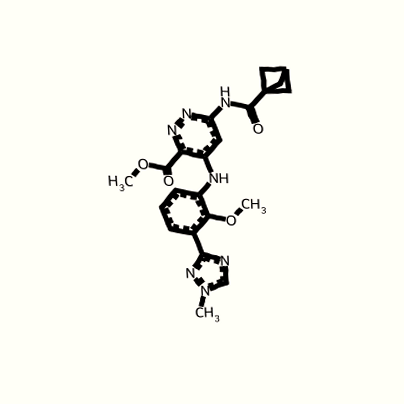 COC(=O)c1nnc(NC(=O)C23CC(C2)C3)cc1Nc1cccc(-c2ncn(C)n2)c1OC